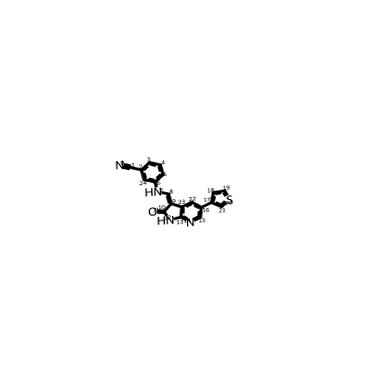 N#Cc1cccc(NC=C2C(=O)Nc3ncc(-c4ccsc4)cc32)c1